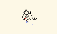 CN[C@H](C(N)=O)C(C)(C)c1ccccc1